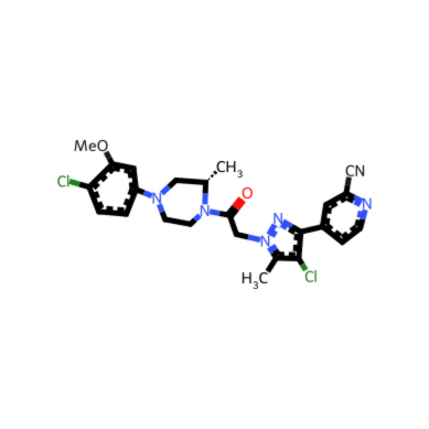 COc1cc(N2CCN(C(=O)Cn3nc(-c4ccnc(C#N)c4)c(Cl)c3C)[C@@H](C)C2)ccc1Cl